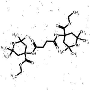 CCOC(=O)C1(NC(=O)CCC(=O)NC2(C(=O)OCC)CC(C)(C)NC(C)(C)C2)CC(C)(C)NC(C)(C)C1